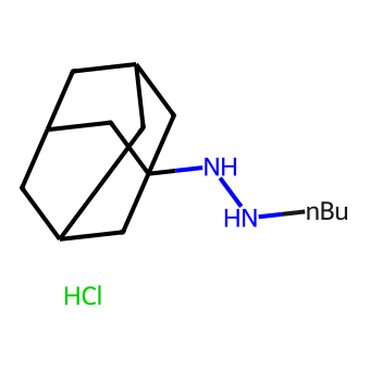 CCCCNNC12CC3CC(CC(C3)C1)C2.Cl